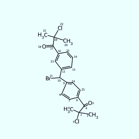 CC(C)(Cl)C(=O)c1ccc(C(Br)c2cccc(C(=O)C(C)(C)Cl)c2)cc1